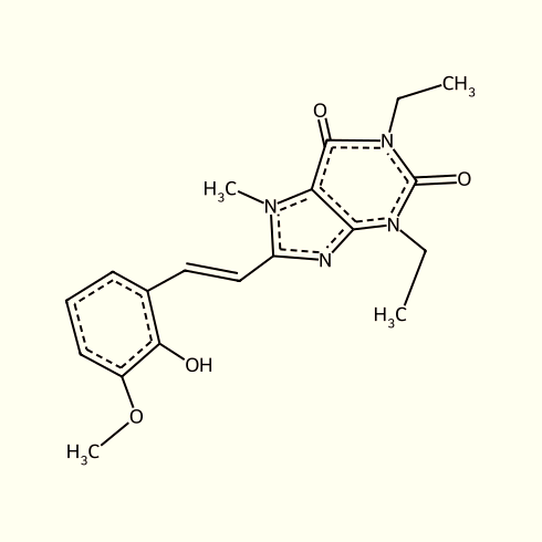 CCn1c(=O)c2c(nc(C=Cc3cccc(OC)c3O)n2C)n(CC)c1=O